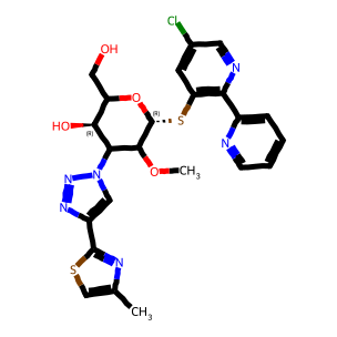 COC1C(n2cc(-c3nc(C)cs3)nn2)[C@@H](O)C(CO)O[C@@H]1Sc1cc(Cl)cnc1-c1ccccn1